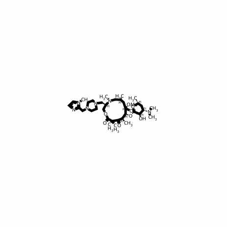 CO[C@]1(C)C[C@@H](C)CN(C)[C@H](CN2CCN(Cc3nccn3C)CC2)COC(=O)C(C)(C)C(=O)[C@H](C)[C@H]1O[C@@H]1O[C@H](C)C[C@H](N(C)C)[C@H]1O